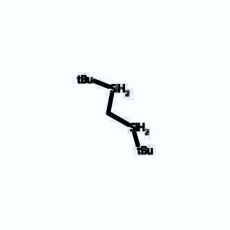 CC(C)(C)[SiH2]C[SiH2]C(C)(C)C